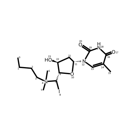 CCCC[Si](C)(C)C(I)[C@H]1O[C@@H](n2cc(C)c(=O)[nH]c2=O)C[C@@H]1O